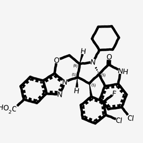 O=C(O)c1ccc2c3n(nc2c1)[C@@H]1[C@H](CO3)N(C2CCCCC2)[C@@]2(C(=O)Nc3cc(Cl)ccc32)[C@H]1c1cccc(Cl)c1F